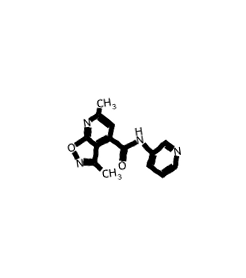 Cc1cc(C(=O)Nc2cccnc2)c2c(C)noc2n1